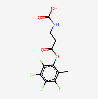 Cc1c(F)c(F)c(F)c(F)c1OC(=O)CCNC(=O)O